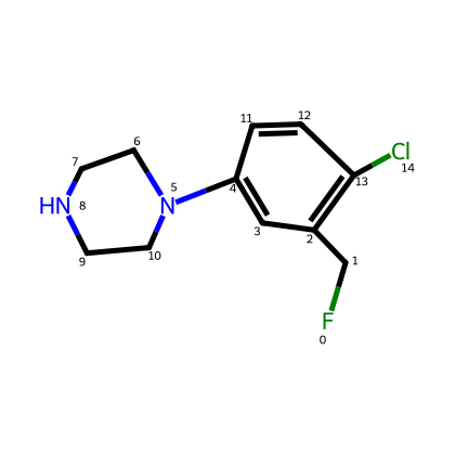 FCc1cc(N2CCNCC2)ccc1Cl